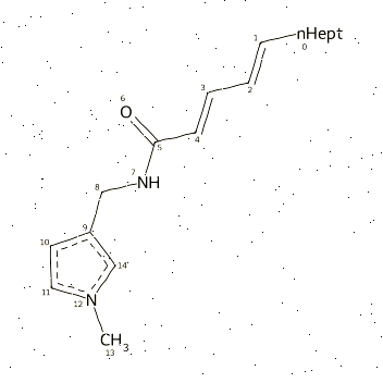 CCCCCCC/C=C/C=C/C(=O)NCc1ccn(C)c1